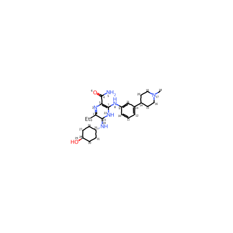 CCC1=NC(C(N)=O)=C(Nc2cccc(C3CCN(C)CC3)c2)NC1N[C@H]1CC[C@H](O)CC1